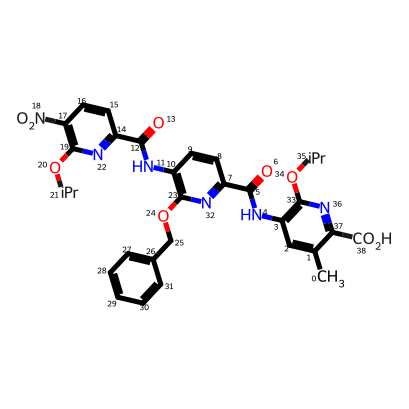 Cc1cc(NC(=O)c2ccc(NC(=O)c3ccc([N+](=O)[O-])c(OC(C)C)n3)c(OCc3ccccc3)n2)c(OC(C)C)nc1C(=O)O